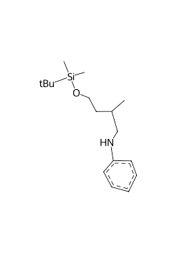 CC(CCO[Si](C)(C)C(C)(C)C)CNc1ccccc1